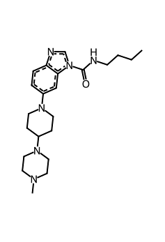 CCCCNC(=O)n1cnc2ccc(N3CCC(N4CCN(C)CC4)CC3)cc21